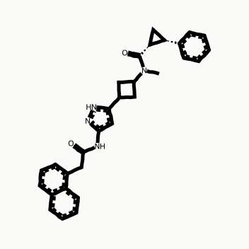 CN(C(=O)[C@@H]1C[C@@H]1c1ccccc1)C1CC(c2cc(NC(=O)Cc3cccc4ccccc34)n[nH]2)C1